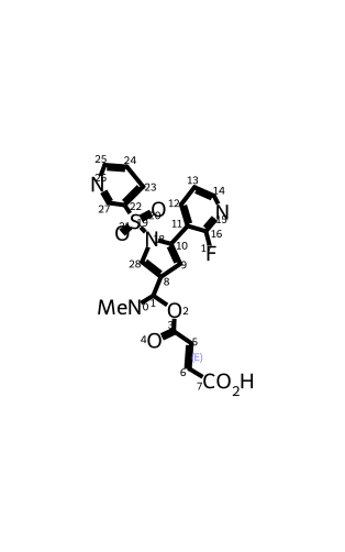 CNC(OC(=O)/C=C/C(=O)O)c1cc(-c2cccnc2F)n(S(=O)(=O)c2cccnc2)c1